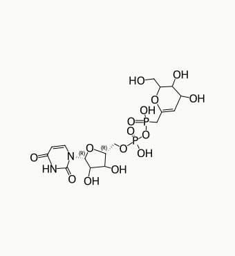 O=c1ccn([C@@H]2O[C@H](COP(=O)(O)OP(=O)(O)CC3=CC(O)C(O)C(CO)O3)C(O)C2O)c(=O)[nH]1